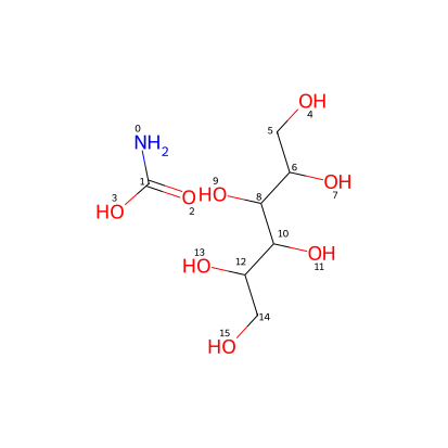 NC(=O)O.OCC(O)C(O)C(O)C(O)CO